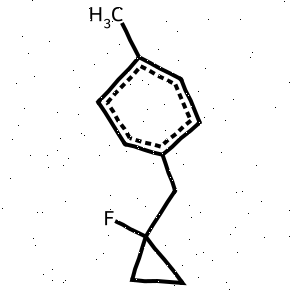 Cc1ccc(CC2(F)CC2)cc1